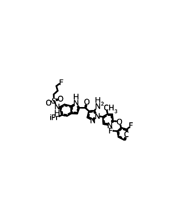 Cc1cc(Oc2c(F)cccc2F)ncc1-n1ncc(C(=O)c2cc3cc(C(C)C)c(NS(=O)(=O)CCCF)cc3[nH]2)c1N